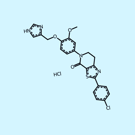 COc1cc(N2CCc3nc(-c4ccc(Cl)cc4)sc3C2=O)ccc1OCc1c[nH]cn1.Cl